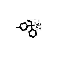 C=CC(c1ccccc1)(c1ccc(C)cc1)P(=O)(O)O